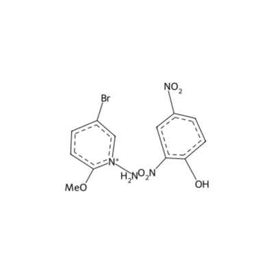 COc1ccc(Br)c[n+]1N.O=[N+]([O-])c1ccc(O)c([N+](=O)[O-])c1